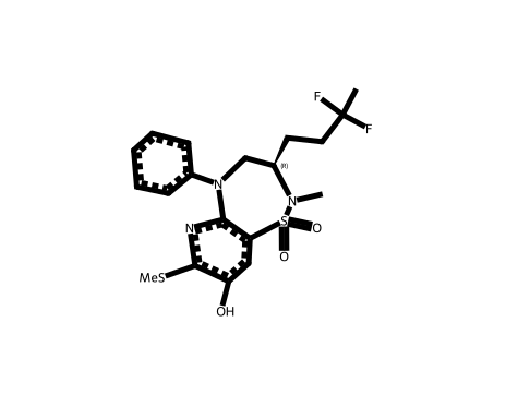 CSc1nc2c(cc1O)S(=O)(=O)N(C)[C@H](CCC(C)(F)F)CN2c1ccccc1